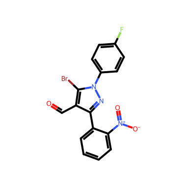 O=Cc1c(-c2ccccc2[N+](=O)[O-])nn(-c2ccc(F)cc2)c1Br